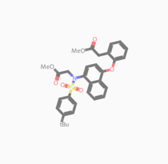 COC(=O)Cc1ccccc1Oc1ccc(N(CC(=O)OC)S(=O)(=O)c2ccc(C(C)(C)C)cc2)c2ccccc12